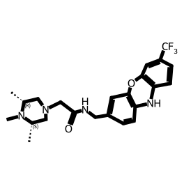 C[C@@H]1CN(CC(=O)NCc2ccc3c(c2)Oc2cc(C(F)(F)F)ccc2N3)C[C@H](C)N1C